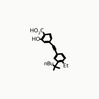 CCCCC(C)(C)c1cc(C#Cc2ccc(C(=O)O)c(O)c2)ccc1CC